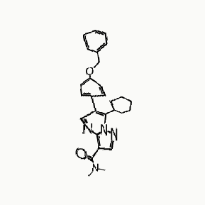 CN(C)C(=O)c1cnn2c(C3CCCCC3)c(-c3ccc(OCc4ccccc4)cc3)cnc12